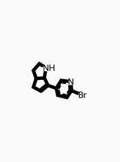 Brc1ccc(C2=CCC3CCNC23)cn1